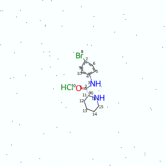 Cl.O=C(Nc1ccc(Br)cc1)[C@H]1CCCCN1